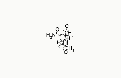 C[C@]12CCC(=O)CC1[C@@H](C(N)=O)C[C@@H]1[C@@H]2CC[C@]2(C)C(=O)CC[C@@H]12